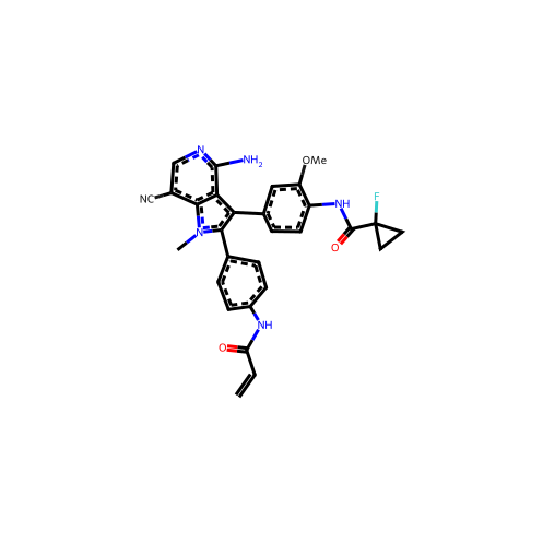 C=CC(=O)Nc1ccc(-c2c(-c3ccc(NC(=O)C4(F)CC4)c(OC)c3)c3c(N)ncc(C#N)c3n2C)cc1